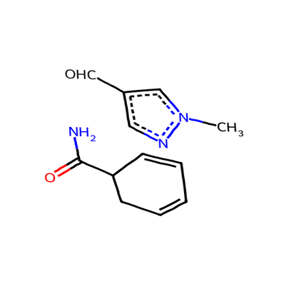 Cn1cc(C=O)cn1.NC(=O)C1C=CC=CC1